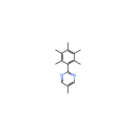 Cc1cnc(-c2c(C)c(C)c(C)c(C)c2C)nc1